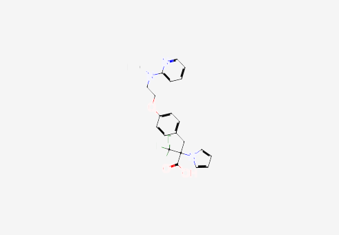 CN(CCOc1ccc(CC(C(=O)O)(n2cccc2)C(F)(F)F)cc1)c1ccccn1